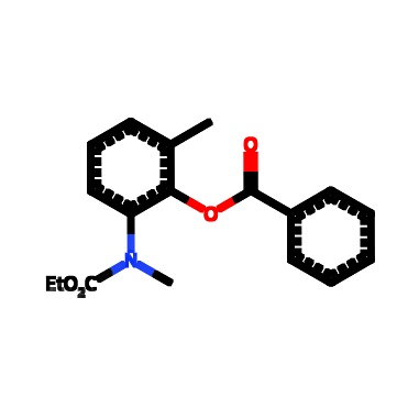 CCOC(=O)N(C)c1cccc(C)c1OC(=O)c1ccccc1